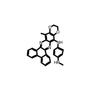 CNc1ccc(Nc2c3c(c(C)c4nc5c6ccccc6c6ccccc6c5nc24)OCCO3)cc1